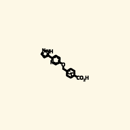 O=C(O)C12CCC(COc3ccc(-c4ccn[nH]4)nc3)(CC1)CC2